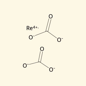 O=C([O-])[O-].O=C([O-])[O-].[Re+4]